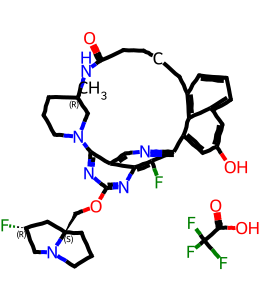 C[C@@]12CCCN(C1)c1nc(OC[C@@]34CCCN3C[C@H](F)C4)nc3c(F)c(ncc13)-c1cc(O)cc3cccc(c13)CCCCC(=O)N2.O=C(O)C(F)(F)F